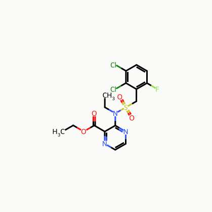 CCOC(=O)c1nccnc1N(CC)S(=O)(=O)Cc1c(F)ccc(Cl)c1Cl